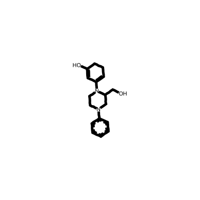 OCC1CN(c2ccccc2)CCN1C1=CCCC(O)=C1